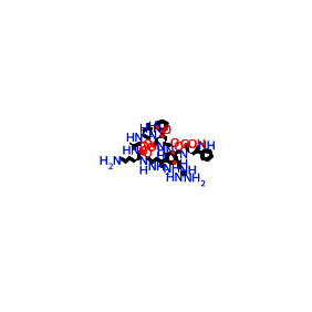 CC(C)C[C@H](NC(=O)[C@H](C)NC(=O)[C@H](CCCCN)NC(=O)[C@@H](N)Cc1c[nH]c2ccccc12)C(=O)N[C@@H](Cc1ccccc1)C(=O)N[C@@H](CCC(N)=O)C(=O)N[C@@H](CCCNC(=N)N)C(=O)N[C@@H](Cc1c[nH]c2ccccc12)C(=O)O